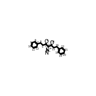 [N-]=[N+]=C(C(=O)CCc1ccccc1)C(=O)CCc1ccccc1